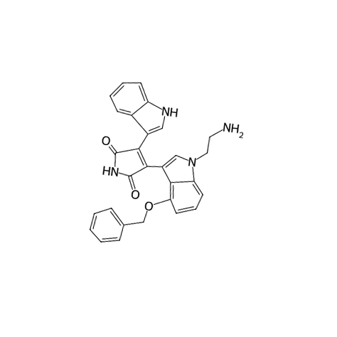 NCCn1cc(C2=C(c3c[nH]c4ccccc34)C(=O)NC2=O)c2c(OCc3ccccc3)cccc21